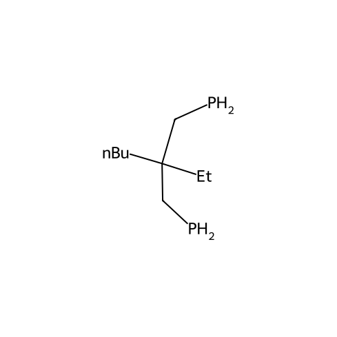 CCCCC(CC)(CP)CP